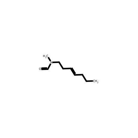 [CH2]CCC=CCCN(C)C=O